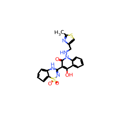 Cc1nc(CNn2c(=O)c(C3=NS(=O)(=O)c4ccccc4N3)c(O)c3ccccc32)cs1